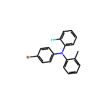 Cc1ccccc1N(c1ccc(Br)cc1)c1ccccc1F